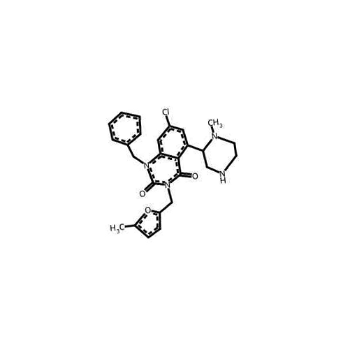 Cc1ccc(Cn2c(=O)c3c(C4CNCCN4C)cc(Cl)cc3n(Cc3ccccc3)c2=O)o1